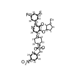 O=c1c(OC2CCC(F)C2)c(N2CCN(S(=O)(=O)Cc3ccc([N+](=O)[O-])cn3)CC2)cnn1-c1cc(F)cc(F)c1